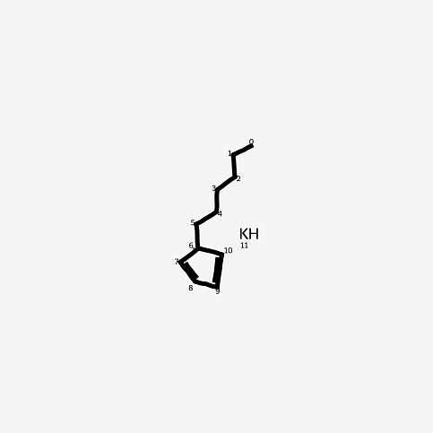 CCCCCC[C]1C=CC=C1.[KH]